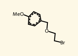 COc1ccc(COCCBr)cc1